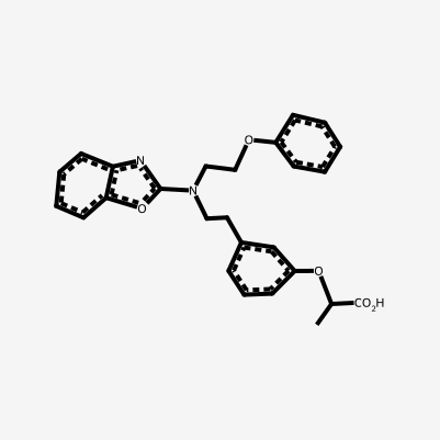 CC(Oc1cccc(CCN(CCOc2ccccc2)c2nc3ccccc3o2)c1)C(=O)O